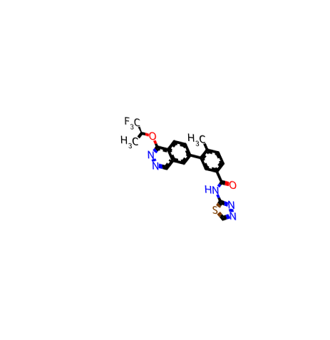 Cc1ccc(C(=O)Nc2nncs2)cc1-c1ccc2c(O[C@@H](C)C(F)(F)F)nncc2c1